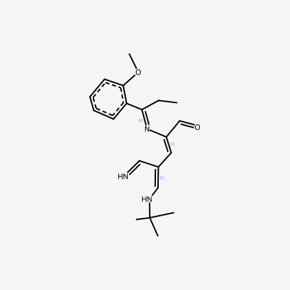 CC\C(=N/C(C=O)=C\C(C=N)=C\NC(C)(C)C)c1ccccc1OC